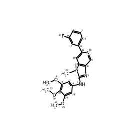 COc1cc(Nc2nc3cnc(-c4cccc(F)c4)cc3n2C)cc(OC)c1OC